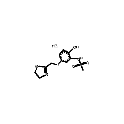 CS(=O)(=O)Nc1cc(OCC2=NCCN2)ccc1O.Cl